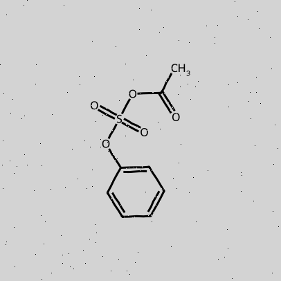 CC(=O)OS(=O)(=O)Oc1ccccc1